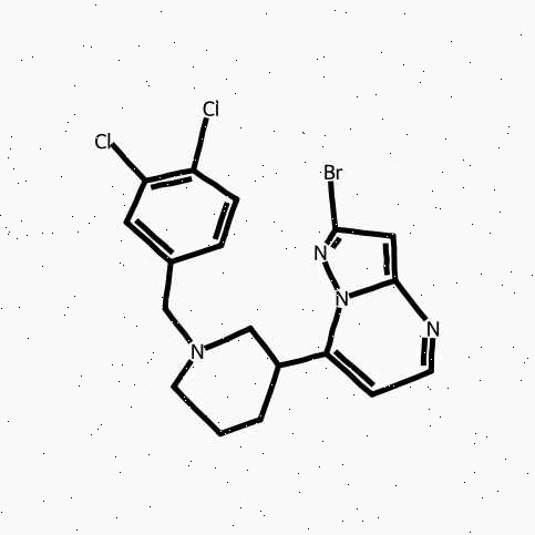 Clc1ccc(CN2CCCC(c3ccnc4cc(Br)nn34)C2)cc1Cl